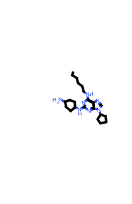 CCCCCCNc1nc(NC2CCC(N)CC2)nc2c1ncn2C1CCCC1